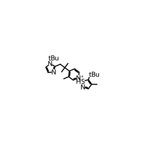 CC1=C(C(C)(C)C)[SH]([n+]2ccc(C(C)(C)Cc3nccn3C(C)(C)C)c(C)c2)N=C1